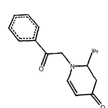 CC(C)C1CC(=O)C=CN1CC(=O)c1ccccc1